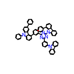 c1ccc(-c2ccc3c(c2)c2c(-c4cccc(-c5nc(-c6cccc(-n7c8ccccc8c8ccccc87)c6)nc(-n6c7ccccc7c7cccc(-c8ccccc8)c76)n5)c4)cccc2n3-c2ccccc2)cc1